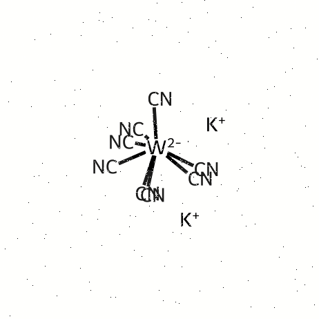 N#[C][W-2]([C]#N)([C]#N)([C]#N)([C]#N)([C]#N)([C]#N)[C]#N.[K+].[K+]